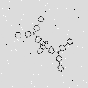 O=c1n(-c2ccc(N(C3=CC=C(C4=CC=CCC4)CC3)c3ccc(C4C=CC=CC4)cc3)cc2)c2ccccc2n1-c1ccc(N(c2ccc(-c3ccccc3)cc2)c2ccc(-c3ccccc3)cc2)cc1